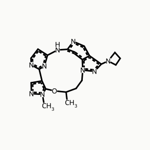 CC1CCn2nc(N3CCC3)c3cnc(cc32)Nc2ccnc(n2)-c2cnn(C)c2O1